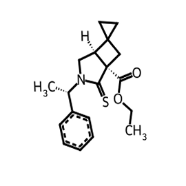 CCOC(=O)[C@@]12CC3(CC3)[C@@H]1CN([C@@H](C)c1ccccc1)C2=S